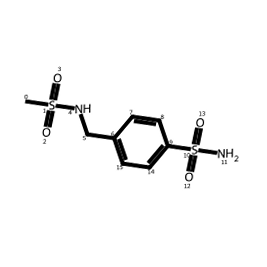 CS(=O)(=O)NCc1ccc(S(N)(=O)=O)cc1